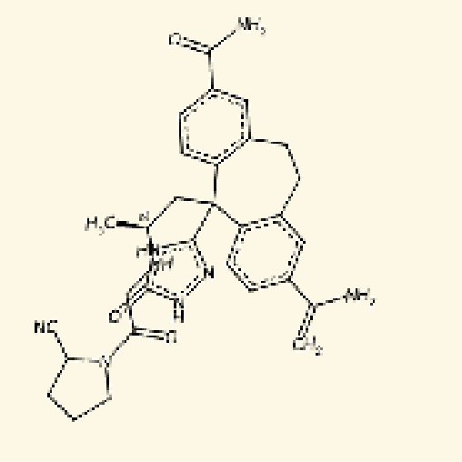 C=C(N)c1ccc2c(c1)CCc1cc(C(N)=O)ccc1C2(C[C@H](C)NCC(=O)N1CCCC1C#N)c1n[nH]c(=O)[nH]1